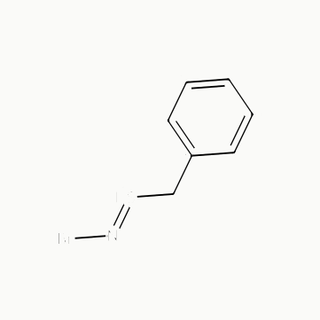 BrN=[SH]Cc1ccccc1